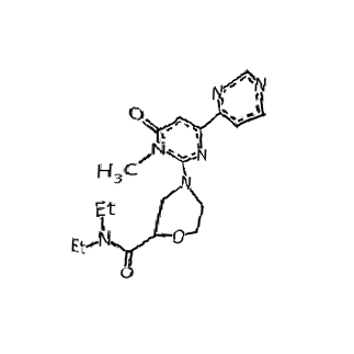 CCN(CC)C(=O)C1CN(c2nc(-c3ccncn3)cc(=O)n2C)CCO1